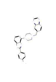 CC(C)(C)c1ccc(-c2nc3c(N4CCN(Cc5ccc6nccnc6c5)CC4)cccc3s2)cc1